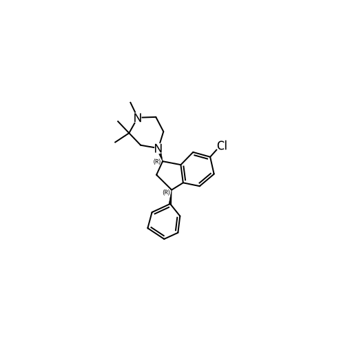 CN1CCN([C@@H]2C[C@H](c3ccccc3)c3ccc(Cl)cc32)CC1(C)C